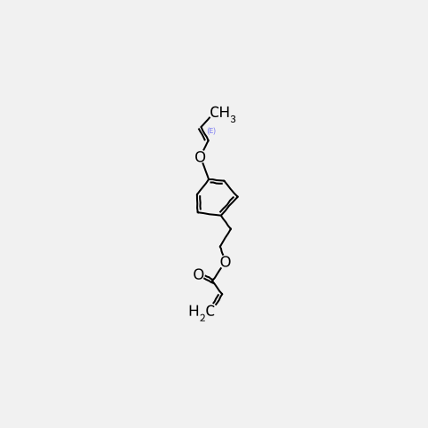 C=CC(=O)OCCc1ccc(O/C=C/C)cc1